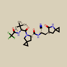 CC(C)(C)[C@H](NC(=O)C(F)(F)F)C(=O)N1CC2(CC2)C[C@H]1C(=O)N[C@H](C#N)C[C@@H]1CC2(CC2)NC1=O